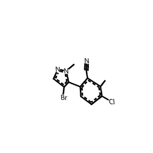 Cc1c(Cl)ccc(-c2c(Br)cnn2C)c1C#N